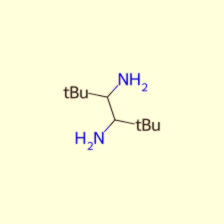 CC(C)(C)C(N)C(N)C(C)(C)C